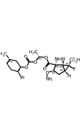 CCCO[C@@H]1C[C@@H]2[C@H]([C@]1(N)C(=O)O[C@@H](C)OC(=O)OC1C[C@H](C)CCC1C(C)C)[C@@]2(F)C(=O)O